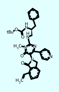 C=Cc1cccc2c1C(=O)N(c1c(-c3ccncc3)nc(NC[C@H](Cc3ccccc3)NC(=O)OC(C)(C)C)n(C)c1=O)C2